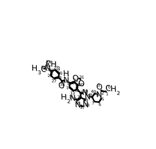 C=CC(=O)N1CCCC(n2nc(-c3ccc(NC(=O)c4ccc(N(C)C)cc4)c4c3OCO4)c3c(N)ncnc32)C1